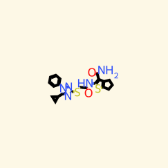 NC(=O)c1c(NC(=O)CSc2nc(C3CC3)n(-c3ccccc3)n2)sc2c1CCC2